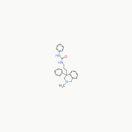 CN1Cc2ccccc2C(CCCNC(=O)Nc2ccccc2)(c2ccccc2)C1